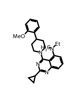 CCN(C)c1cccc2nc(C3CC3)nc(N3CCC(c4ccccc4OC)CC3)c12